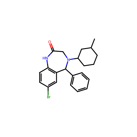 CC1CCCC(N2CC(=O)Nc3ccc(Br)cc3C2c2ccccc2)C1